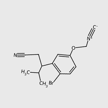 [C-]#[N+]COc1ccc(Br)c(C(CC#N)C(C)C)c1